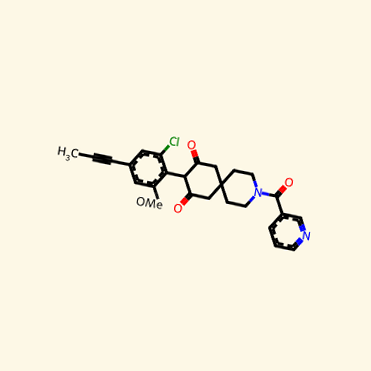 CC#Cc1cc(Cl)c(C2C(=O)CC3(CCN(C(=O)c4cccnc4)CC3)CC2=O)c(OC)c1